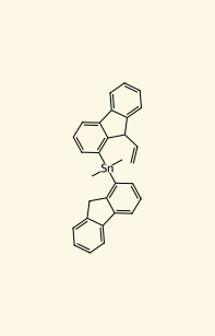 C=CC1c2ccccc2-c2ccc[c]([Sn]([CH3])([CH3])[c]3cccc4c3Cc3ccccc3-4)c21